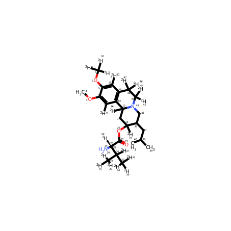 [2H]c1c(OC)c(OC([2H])([2H])[2H])c([2H])c2c1C1([2H])CC([2H])(OC(=O)[C@@]([2H])(N)C([2H])(C([2H])([2H])[2H])C([2H])([2H])[2H])C(CC(C)C)CN1C([2H])([2H])C2([2H])[2H]